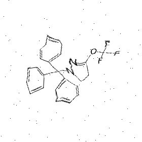 FC(F)(F)OC1=NN(C(c2ccccc2)(c2ccccc2)c2ccccc2)CC1